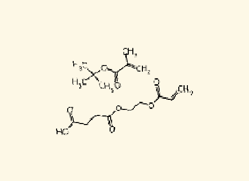 C=C(C)C(=O)OC(C)(C)C.C=CC(=O)OCCOC(=O)CCC(=O)O